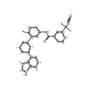 Cc1ncc(NC(=O)c2ccnc(C(C)(C)C#N)c2)cc1-c1cccc(-c2ccnc3[nH]cnc23)c1